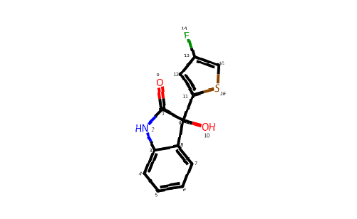 O=C1Nc2ccccc2C1(O)c1cc(F)cs1